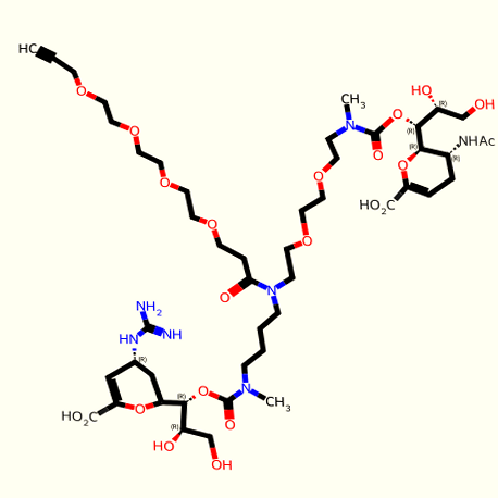 C#CCOCCOCCOCCOCCC(=O)N(CCCCN(C)C(=O)O[C@@H](C1C[C@@H](NC(=N)N)C=C(C(=O)O)O1)[C@H](O)CO)CCOCCOCCN(C)C(=O)O[C@@H]([C@@H]1OC(C(=O)O)=CC[C@H]1NC(C)=O)[C@H](O)CO